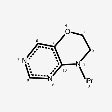 CC(C)N1CCOc2cncnc21